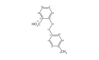 Cc1ccc(CCc2ccccc2C(=O)O)cc1